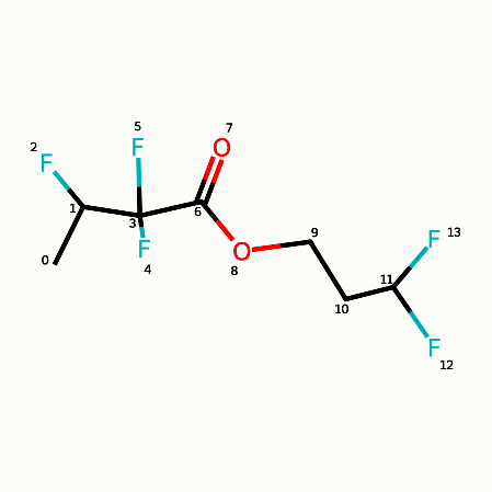 CC(F)C(F)(F)C(=O)OCCC(F)F